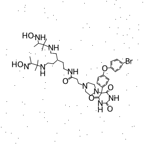 CC(=NO)C(C)(C)NCCC(CCNC(=O)CCN1CCN(C2(c3ccc(Oc4ccc(Br)cc4)cc3)C(=O)NC(=O)NC2=O)CC1)CCNC(C)(C)C(C)NO